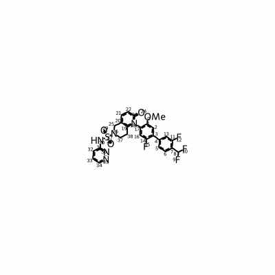 COc1cc(-c2ccc(C(F)F)c(F)c2)c(F)cc1-n1c2c(ccc1=O)CN(S(=O)(=O)Nc1cccnn1)CC2